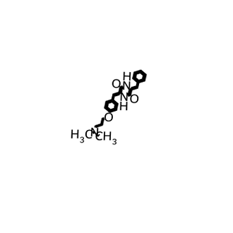 CN(C)CCCOc1ccc(C=c2[nH]c(=O)c(=Cc3ccccc3)[nH]c2=O)cc1